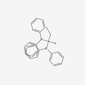 ICC(I)(P(c1ccccc1)c1ccccc1)P(c1ccccc1)c1ccccc1